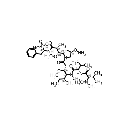 CC[C@H](C)[C@@H]([C@@H](CC(=O)N1C[C@H](ON)C[C@H]1[C@H](OC)[C@@H](C)C(=O)N[C@@H](Cc1ccccc1)P(=O)(O)O)OC)N(C)C(=O)[C@@H](NC(=O)[C@H](C(C)C)N(C)C)C(C)C